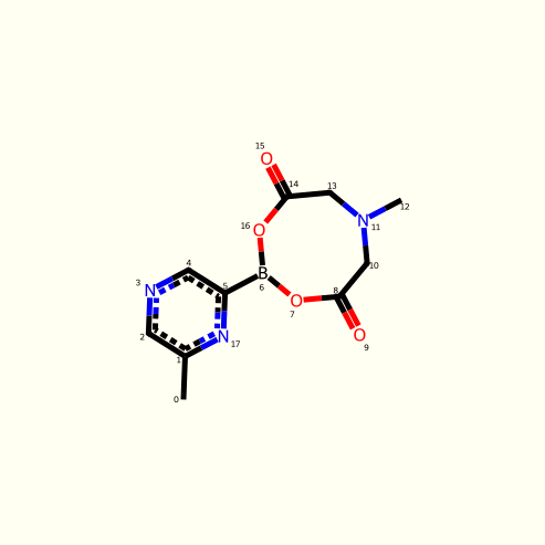 Cc1cncc(B2OC(=O)CN(C)CC(=O)O2)n1